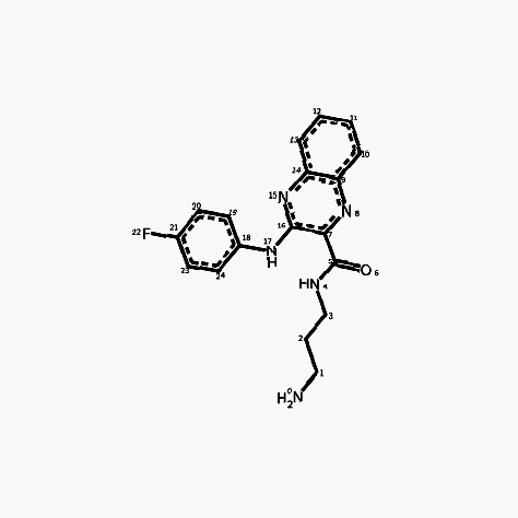 NCCCNC(=O)c1nc2ccccc2nc1Nc1ccc(F)cc1